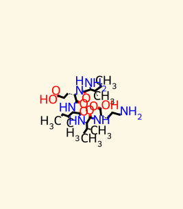 CC[C@H](C)[C@H](N)C(=O)N[C@@H](CCC(=O)O)C(=O)N[C@H](C(=O)N[C@H](C(=O)N[C@@H](CCCN)C(=O)O)[C@@H](C)CC)[C@@H](C)CC